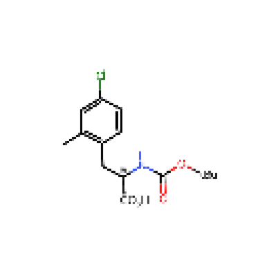 Cc1cc(Cl)ccc1C[C@@H](NC(=O)OC(C)(C)C)C(=O)O